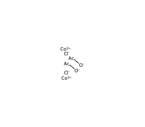 CC(=O)[O-].CC(=O)[O-].[Cl-].[Cl-].[Co+2].[Co+2]